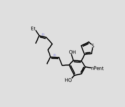 CCCCCc1cc(O)c(C/C=C(\C)CC/C=C(\C)CC)c(O)c1-c1ccsc1